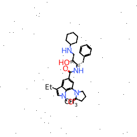 CCc1cn(C)c2c(N3CCCC3=O)cc(C(=O)N[C@@H](Cc3ccccc3)[C@H](O)CNC3CCCCC3)cc12